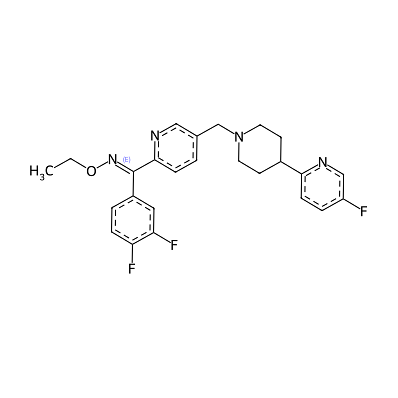 CCO/N=C(\c1ccc(F)c(F)c1)c1ccc(CN2CCC(c3ccc(F)cn3)CC2)cn1